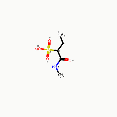 CCC(C(=O)NC)S(=O)(=O)O